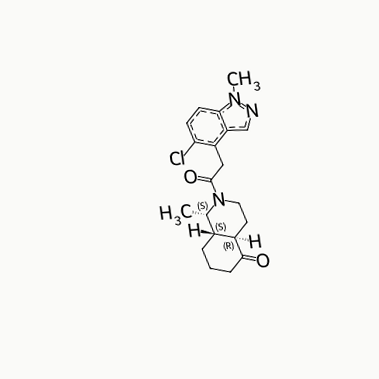 C[C@H]1[C@H]2CCCC(=O)[C@@H]2CCN1C(=O)Cc1c(Cl)ccc2c1cnn2C